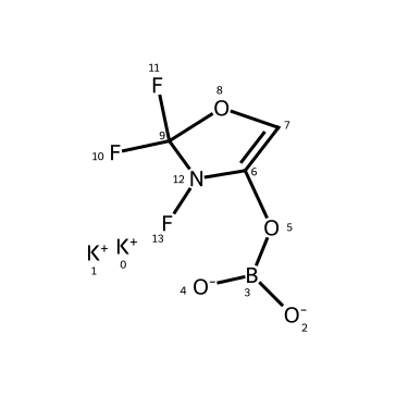 [K+].[K+].[O-]B([O-])OC1=COC(F)(F)N1F